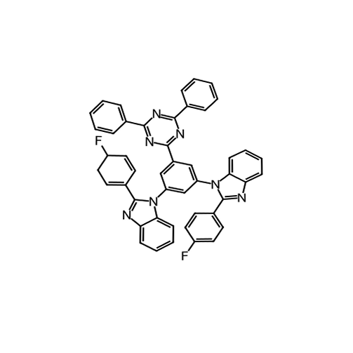 Fc1ccc(-c2nc3ccccc3n2-c2cc(-c3nc(-c4ccccc4)nc(-c4ccccc4)n3)cc(-n3c(C4=CCC(F)C=C4)nc4ccccc43)c2)cc1